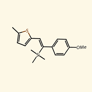 COc1ccc(C(=Cc2ccc(C)s2)[Si](C)(C)C)cc1